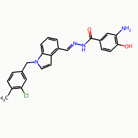 Cc1ccc(Cn2ccc3c(/C=N/NC(=O)c4ccc(O)c(N)c4)cccc32)cc1Cl